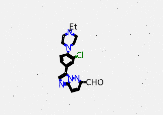 CCN1CCN(c2ccc(-c3cnc4ccc(C=O)nn34)cc2Cl)CC1